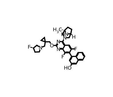 C[C@@]12CC[C@H](CN(c3nc(OCC4(CN5CC[C@@H](F)C5)CC4)nc4c(F)c(-c5cc(O)cc6ccccc56)c(F)cc34)C1)N2